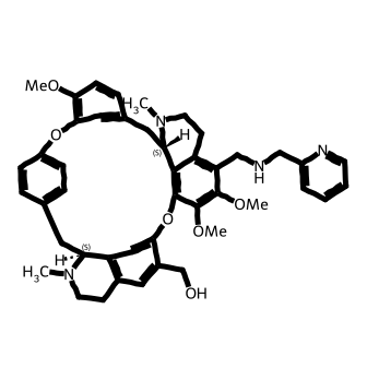 COc1ccc2cc1Oc1ccc(cc1)C[C@H]1c3cc(c(CO)cc3CCN1C)Oc1c(OC)c(OC)c(CNCc3ccccn3)c3c1[C@H](C2)N(C)CC3